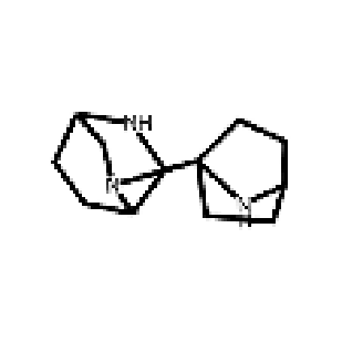 C1CC2CN(C34CCC(CC3)N4)[C]1CN2